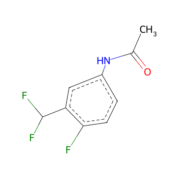 CC(=O)Nc1ccc(F)c(C(F)F)c1